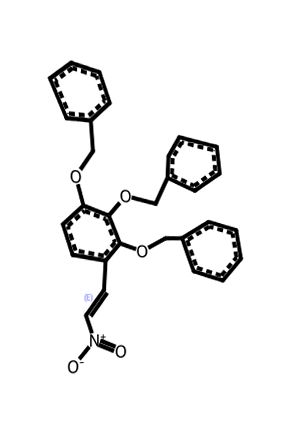 O=[N+]([O-])/C=C/c1ccc(OCc2ccccc2)c(OCc2ccccc2)c1OCc1ccccc1